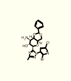 Cc1nc([C@@H]2O[C@@H]3COC(c4ccccc4)O[C@@H]3[C@H](N)[C@H]2O)n(-c2cc(Cl)cnc2Br)n1